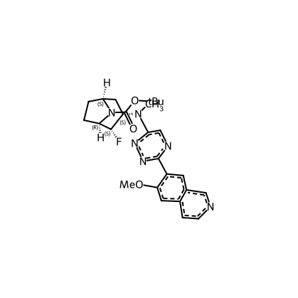 COc1cc2ccncc2cc1-c1ncc(N(C)[C@H]2C[C@@H]3CC[C@H]([C@H]2F)N3C(=O)OC(C)(C)C)nn1